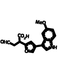 COc1ccc2[nH]cc(-c3coc(C(CC=O)C(=O)O)c3)c2c1